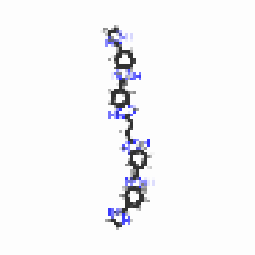 c1cc2[nH]c(-c3ccc4[nH]c(CCc5nc6cc(-c7nc8cc(C9=NCCN9)ccc8[nH]7)ccc6[nH]5)nc4c3)nc2cc1C1=NCCN1